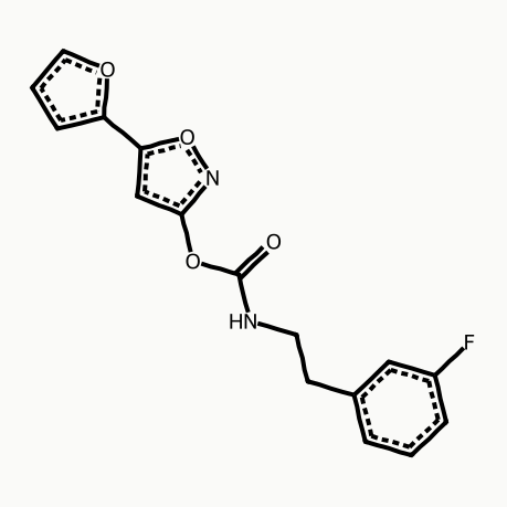 O=C(NCCc1cccc(F)c1)Oc1cc(-c2ccco2)on1